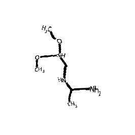 CO[SiH](CNC(C)N)OC